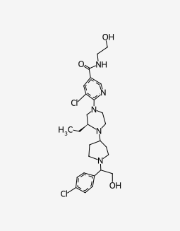 CC[C@H]1CN(c2ncc(C(=O)NCCO)cc2Cl)CCN1C1CCN(C(CO)c2ccc(Cl)cc2)CC1